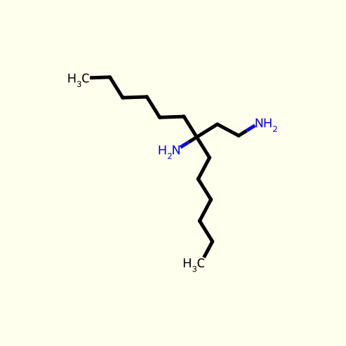 CCCCCCC(N)(CCN)CCCCCC